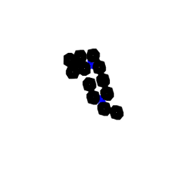 c1ccc(-c2cccc(N(c3cccc(-c4ccccc4)c3)c3cccc(-c4ccc(-c5ccc6c7ccccc7n(-c7ccc8c(c7)C(c7ccccc7)(c7ccccc7)c7ccccc7-8)c6c5)cc4)c3)c2)cc1